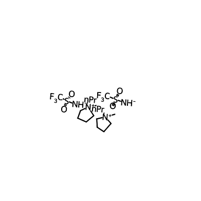 CCC[N+]1(C)CCCC1.CCC[N+]1(C)CCCC1.[NH-]S(=O)(=O)C(F)(F)F.[NH-]S(=O)(=O)C(F)(F)F